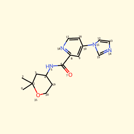 CC1(C)CC(NC(=O)c2cc(-n3ccnc3)ccn2)CCO1